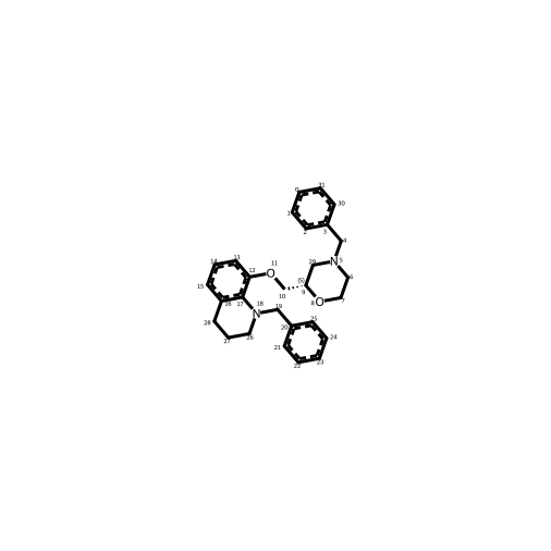 c1ccc(CN2CCO[C@H](COc3cccc4c3N(Cc3ccccc3)CCC4)C2)cc1